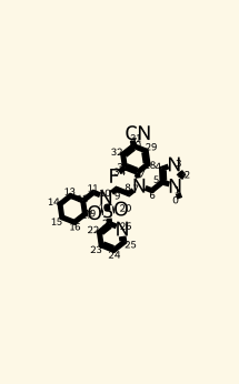 Cn1cncc1CN(CCN(CC1CCCCC1)S(=O)(=O)c1ccccn1)c1ccc(C#N)cc1F